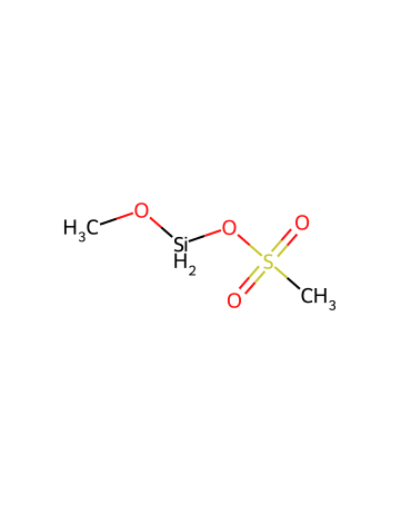 CO[SiH2]OS(C)(=O)=O